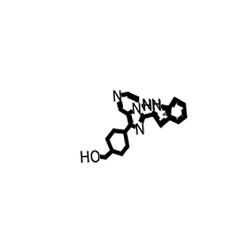 N[N+]12C=CN=CC1=C(C1CCC(CO)CC1)N=C2c1cc2ccccc2[nH]1